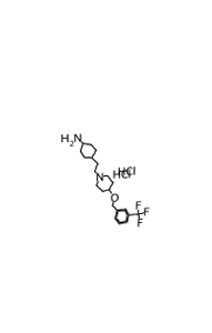 Cl.Cl.NC1CCC(CCN2CCC(OCc3cccc(C(F)(F)F)c3)CC2)CC1